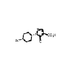 CC(=O)[C@H]1CC[C@H](n2ncc(C(=O)O)c2Cl)CC1